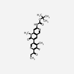 CCC(=O)c1ncc(-c2cc3cnc(NC(=O)OC(C)(C)C)cc3n(C)c2=O)c(C)c1F